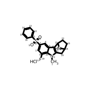 Cl.Cn1c2c(c3cc(S(=O)(=O)c4ccccc4)cc(F)c31)C1CCC(C2)N1